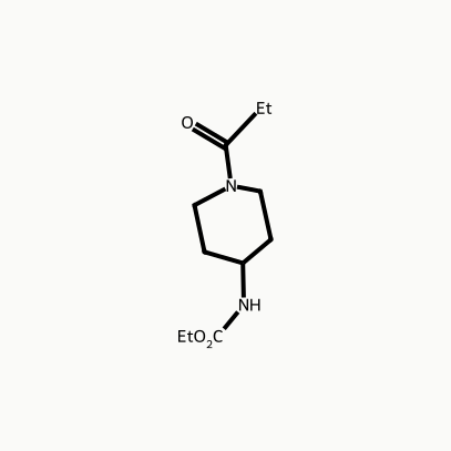 CCOC(=O)NC1CCN(C(=O)CC)CC1